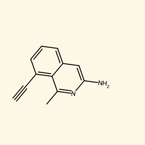 C#Cc1cccc2cc(N)nc(C)c12